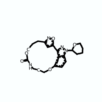 O=C1NCCCOc2ccc3c(c2)c(nn3C2CCCCO2)-c2cc(no2)CCCO1